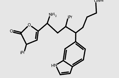 COCCCC(c1ccc2cc[nH]c2c1)C(CC(N)C1=CC(C(C)C)C(=O)O1)C(C)C